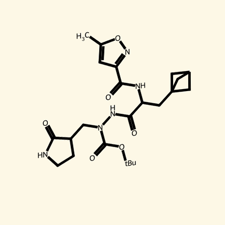 Cc1cc(C(=O)NC(CC23CC(C2)C3)C(=O)NN(CC2CCNC2=O)C(=O)OC(C)(C)C)no1